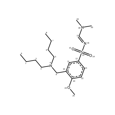 CCCCN(CCCC)Cc1cc(S(=O)(=O)/N=C/N(C)C)ccc1OC